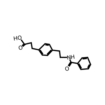 O=C(O)CCc1ccc(CCNC(=O)c2ccccc2)cc1